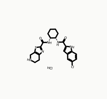 Cl.O=C(N[C@H]1CCCC[C@H]1NC(=O)c1nc2c(s1)CNCC2)c1cc2cc(Cl)ccc2[nH]1